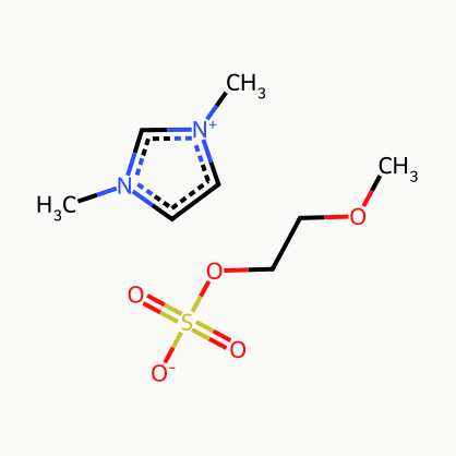 COCCOS(=O)(=O)[O-].Cn1cc[n+](C)c1